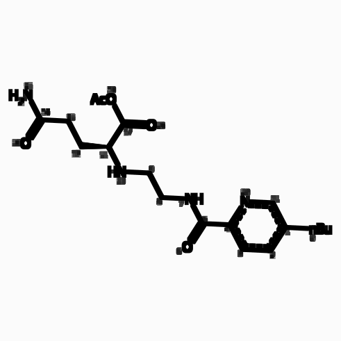 CCCCc1ccc(C(=O)NCCN[C@@H](CCC(N)=O)C(=O)OC(C)=O)nc1